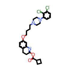 O=C(OC1=Nc2cc(OCCCCN3CCN(c4cccc(Cl)c4Cl)CC3)ccc2CC1)C1CCC1